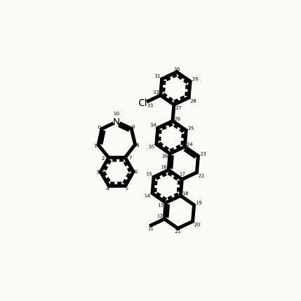 C1=Cc2ccccc2CC=N1.CC1=c2ccc3c(c2CCC1)CC=c1cc(-c2ccccc2Cl)ccc1=3